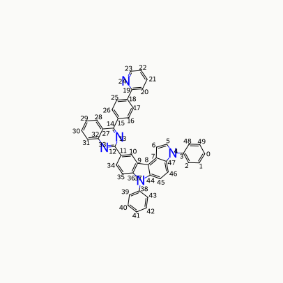 c1ccc(-n2ccc3c4c5cc(-c6nc(-c7ccc(-c8ccccn8)cc7)c7ccccc7n6)ccc5n(-c5ccccc5)c4ccc32)cc1